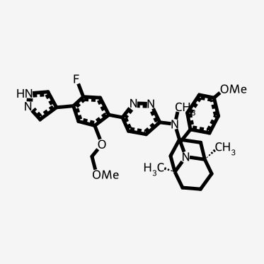 COCOc1cc(-c2cn[nH]c2)c(F)cc1-c1ccc(N(C)C2C[C@]3(C)CCC[C@](C)(C2)N3Cc2ccc(OC)cc2)nn1